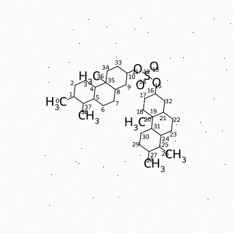 CC1CCC2C(CCC3CC(OS(=O)(=O)OC4CCC5(C)C(CCC6C(C)C(C)CCC65)C4)CCC32C)C1C